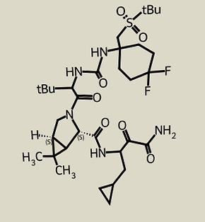 CC(C)(C)C(NC(=O)NC1(CS(=O)(=O)C(C)(C)C)CCC(F)(F)CC1)C(=O)N1C[C@H]2C([C@H]1C(=O)NC(CC1CC1)C(=O)C(N)=O)C2(C)C